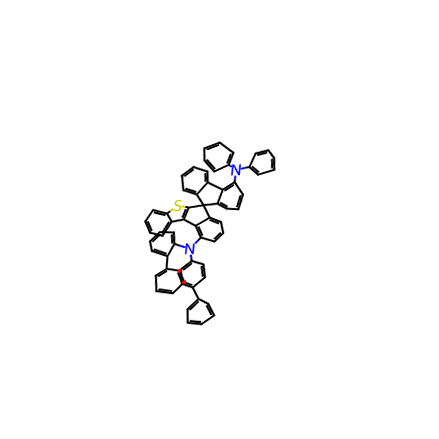 c1ccc(-c2ccc(N(c3ccccc3-c3ccccc3)c3cccc4c3-c3c(sc5ccccc35)C43c4ccccc4-c4c(N(c5ccccc5)c5ccccc5)cccc43)cc2)cc1